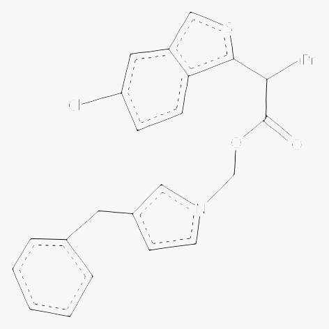 CC(C)C(C(=O)OCn1ccc(Cc2ccccc2)c1)c1scc2cc(Cl)ccc12